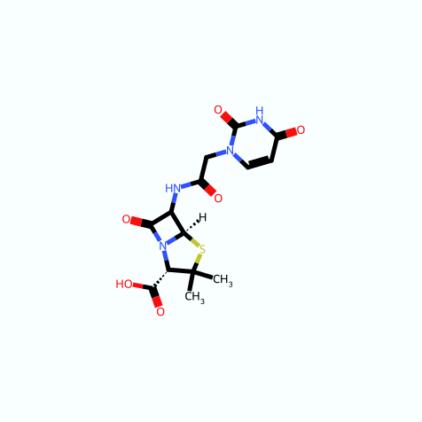 CC1(C)S[C@@H]2C(NC(=O)Cn3ccc(=O)[nH]c3=O)C(=O)N2[C@H]1C(=O)O